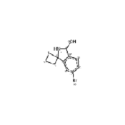 OC1NC2(CCC2)c2cc(Br)ccc21